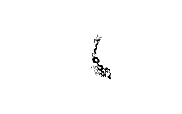 O=c1[nH]c(-c2ccc(OCCCCCC(F)(F)F)cc2)cc(-c2ccn(CC3CC3)n2)c1-c1nnn[nH]1